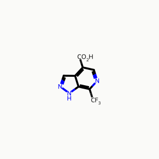 O=C(O)c1cnc(C(F)(F)F)c2[nH]ncc12